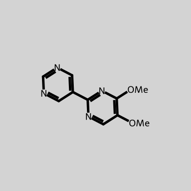 COc1cnc(-c2cncnc2)nc1OC